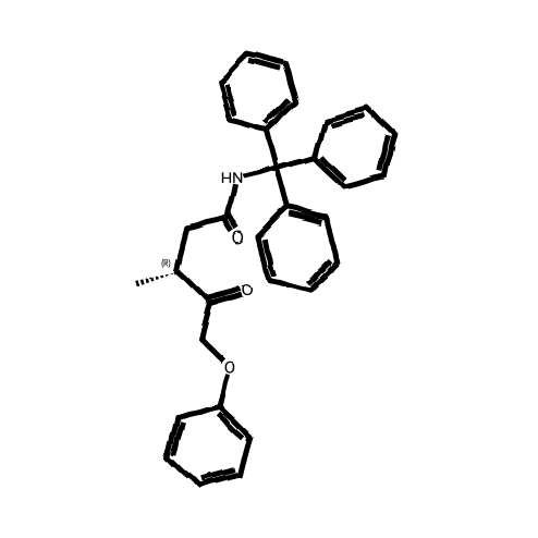 C[C@H](CC(=O)NC(c1ccccc1)(c1ccccc1)c1ccccc1)C(=O)COc1ccccc1